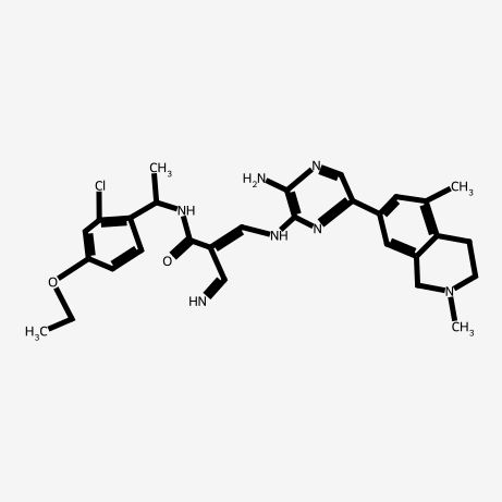 CCOc1ccc(C(C)NC(=O)/C(C=N)=C/Nc2nc(-c3cc(C)c4c(c3)CN(C)CC4)cnc2N)c(Cl)c1